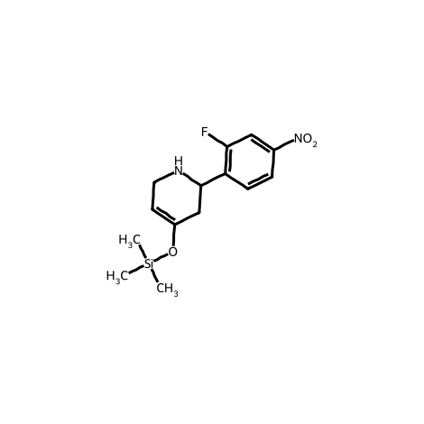 C[Si](C)(C)OC1=CCNC(c2ccc([N+](=O)[O-])cc2F)C1